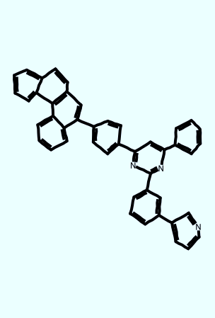 c1ccc(-c2cc(-c3ccc(-c4cc5ccc6ccccc6c5c5ccccc45)cc3)nc(-c3cccc(-c4cccnc4)c3)n2)cc1